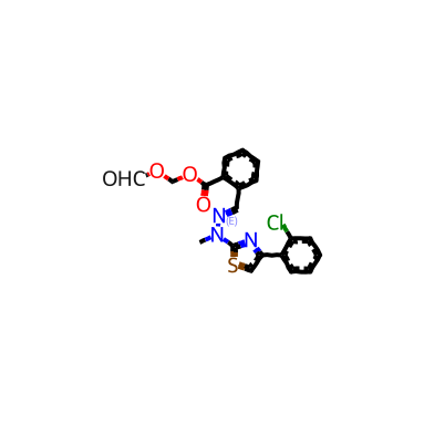 CN(/N=C/c1ccccc1C(=O)OCOC=O)c1nc(-c2ccccc2Cl)cs1